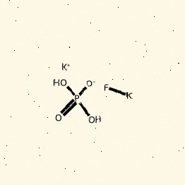 O=P([O-])(O)O.[F][K].[K+]